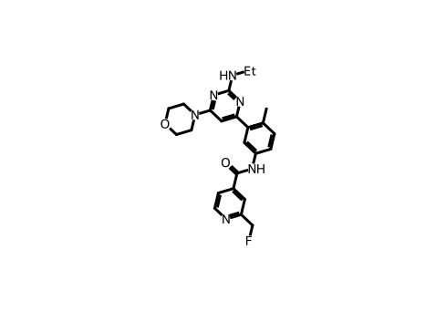 CCNc1nc(-c2cc(NC(=O)c3ccnc(CF)c3)ccc2C)cc(N2CCOCC2)n1